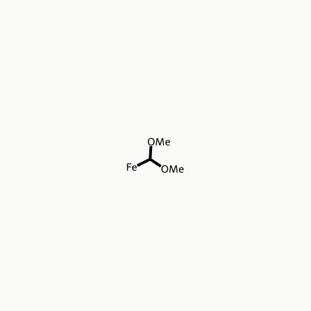 CO[CH]([Fe])OC